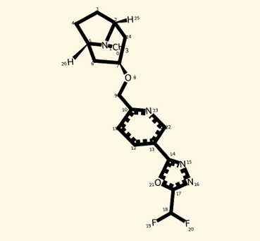 CN1[C@@H]2CC[C@H]1C[C@H](OCc1ccc(-c3nnc(C(F)F)o3)cn1)C2